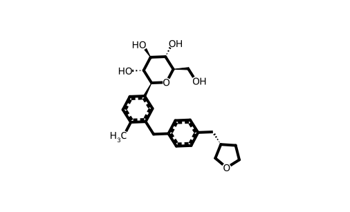 Cc1ccc([C@@H]2O[C@H](CO)[C@@H](O)[C@H](O)[C@H]2O)cc1Cc1ccc(C[C@@H]2CCOC2)cc1